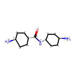 N[C@H]1CC[C@H](NC(=O)[C@H]2CC[C@H](N)CC2)CC1